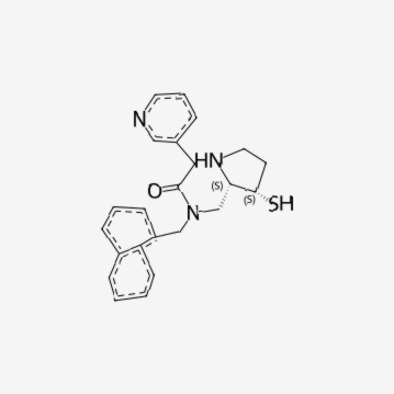 O=C(Cc1cccnc1)N(Cc1cccc2ccccc12)C[C@@H]1NCC[C@@H]1S